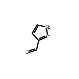 O=CC1=[C-][SbH][CH]=C1